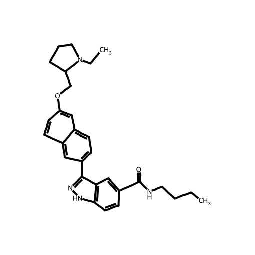 CCCCNC(=O)c1ccc2[nH]nc(-c3ccc4cc(OCC5CCCN5CC)ccc4c3)c2c1